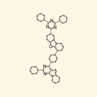 c1ccc(-c2nc(-c3ccccc3)nc(-c3ccc4oc5c(-c6ccc(-c7nc(-c8ccccc8)nc8c7sc7ccccc78)cc6)cccc5c4c3)n2)cc1